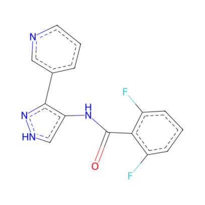 O=C(Nc1c[nH]nc1-c1cccnc1)c1c(F)cccc1F